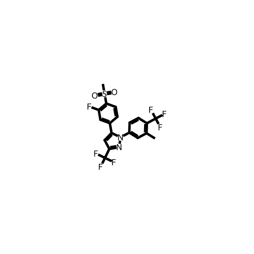 Cc1cc(-n2nc(C(F)(F)F)cc2-c2ccc(S(C)(=O)=O)c(F)c2)ccc1C(F)(F)F